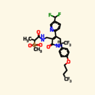 CC(C(=O)NCC1=C(c2ccc(C(F)F)cn2)C[C@@](c2ccc(OCCCC(F)(F)F)cc2)(C(F)(F)F)NC1=O)S(C)(=O)=O